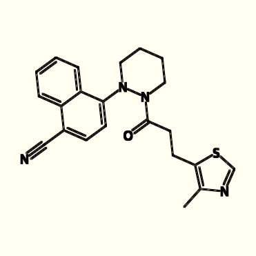 Cc1ncsc1CCC(=O)N1CCCCN1c1ccc(C#N)c2ccccc12